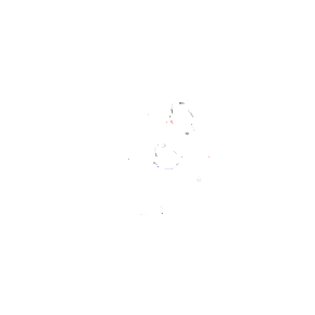 CC1(C)CCc2c(nc([C@@H]3C=CCC3O[Si](C)(C)C(C)(C)C)c(C(O)c3ccc(C(F)(F)F)cc3)c2C2CCCC2)C1